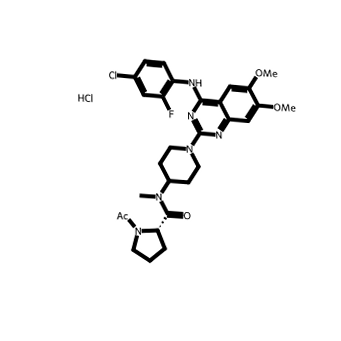 COc1cc2nc(N3CCC(N(C)C(=O)[C@@H]4CCCN4C(C)=O)CC3)nc(Nc3ccc(Cl)cc3F)c2cc1OC.Cl